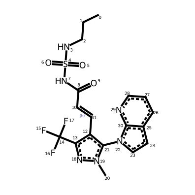 CCCNS(=O)(=O)NC(=O)/C=C/c1c(C(F)(F)F)nn(C)c1-n1ccc2cccnc21